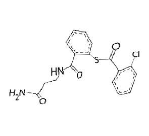 NC(=O)CCNC(=O)c1ccccc1SC(=O)c1ccccc1Cl